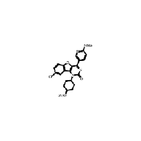 CNc1ccc(-c2nc(=O)n(C3CCC(OC)CC3)c3c2oc2ccc(Cl)cc23)cn1